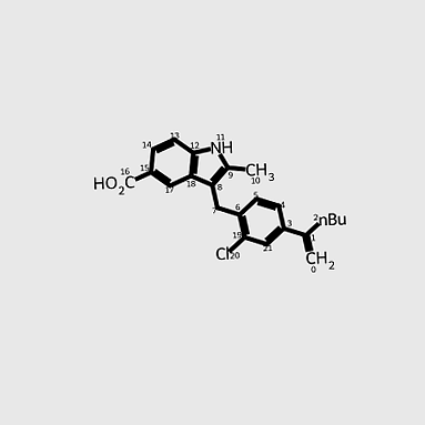 C=C(CCCC)c1ccc(Cc2c(C)[nH]c3ccc(C(=O)O)cc23)c(Cl)c1